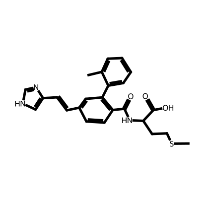 CSCCC(NC(=O)c1ccc(C=Cc2c[nH]cn2)cc1-c1ccccc1C)C(=O)O